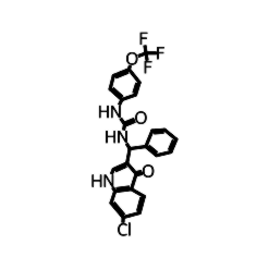 O=C(Nc1ccc(OC(F)(F)F)cc1)NC(c1ccccc1)c1c[nH]c2cc(Cl)ccc2c1=O